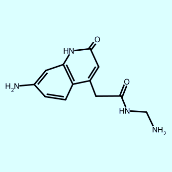 NCNC(=O)Cc1cc(=O)[nH]c2cc(N)ccc12